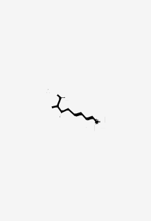 [2H]C([2H])([2H])C=CC=CC[C@@H](C)C(C)[C@H](CC)C(C)=O